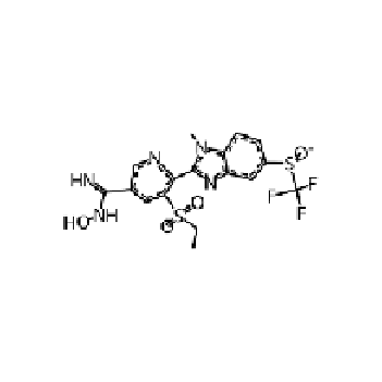 CCS(=O)(=O)c1cc(C(=N)NO)cnc1-c1nc2cc([S+]([O-])C(F)(F)F)ccc2n1C